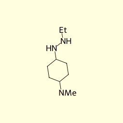 CCNNC1CCC(NC)CC1